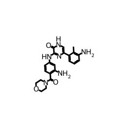 Cc1c(N)cccc1-c1c[nH]c(=O)c(Nc2ccc(C(=O)N3CCOCC3)c(N)c2)n1